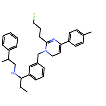 CCC(NCC(C)c1ccccc1)c1cccc(CN2CC=C(c3ccc(C)cc3)N=C2CCCF)c1